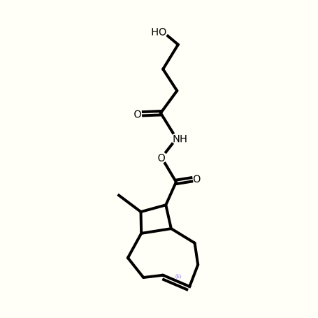 CC1C2CC/C=C/CCC2C1C(=O)ONC(=O)CCCO